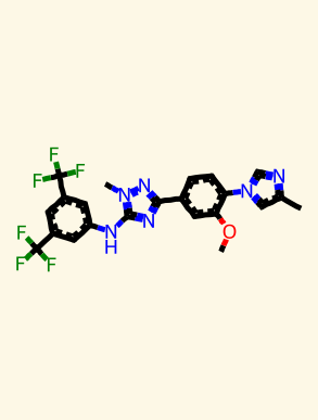 COc1cc(-c2nc(Nc3cc(C(F)(F)F)cc(C(F)(F)F)c3)n(C)n2)ccc1-n1cnc(C)c1